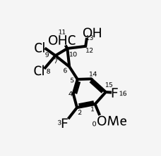 COc1c(F)cc(C2C(Cl)(Cl)C2(C=O)CO)cc1F